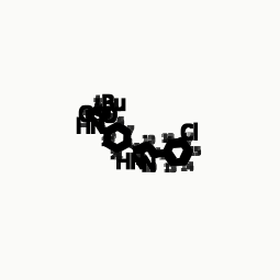 CC(C)(C)S(=O)(=O)N[C@H]1CC[C@H](c2cc(-c3cccc(Cl)c3)n[nH]2)CC1